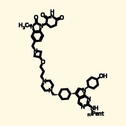 CCC[C@H](C)Nc1ncc2c(n1)n([C@H]1CC[C@H](O)CC1)cc2[C@H]1CC[C@@H](CN2CCN(CCCOC3CN(Cc4ccc5c(c4)n(C)c(=O)n5C4CCC(=O)NC4=O)C3)CC2)CC1